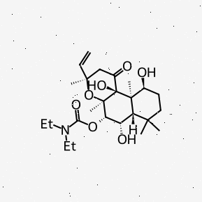 C=C[C@@]1(C)CC(=O)[C@]2(O)[C@@]3(C)[C@@H](O)CCC(C)(C)[C@@H]3[C@H](O)[C@H](OC(=O)N(CC)CC)[C@@]2(C)O1